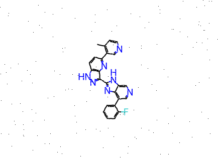 Cc1ccncc1-c1ccc2[nH]nc(-c3nc4c(-c5ccccc5F)cncc4[nH]3)c2n1